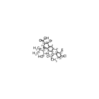 CC(C)Oc1cc2c(cc1Cc1cccc(Cl)c1F)c(=O)c(C(=O)O)cn2C(CO)C(C)C